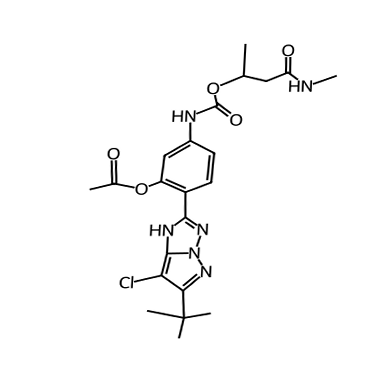 CNC(=O)CC(C)OC(=O)Nc1ccc(-c2nn3nc(C(C)(C)C)c(Cl)c3[nH]2)c(OC(C)=O)c1